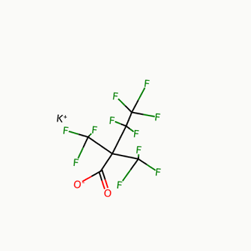 O=C([O-])C(C(F)(F)F)(C(F)(F)F)C(F)(F)C(F)(F)F.[K+]